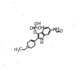 CCN1CC=C(c2[nH]c3cc(NC=O)ccc3c2OP(=O)(O)O)CC1